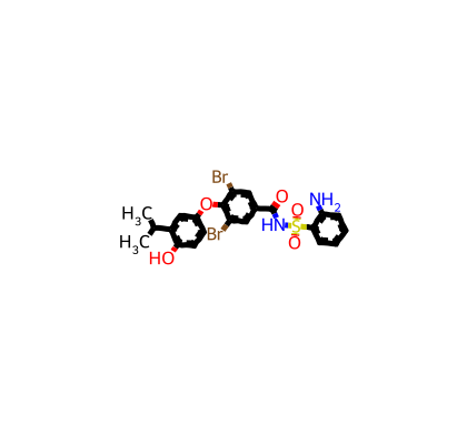 CC(C)c1cc(Oc2c(Br)cc(C(=O)NS(=O)(=O)c3ccccc3N)cc2Br)ccc1O